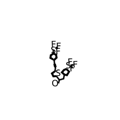 O=CC(Cc1ccc(SC(F)(F)F)cc1)c1ccc(C#Cc2ccc(SC(F)(F)F)cc2)s1